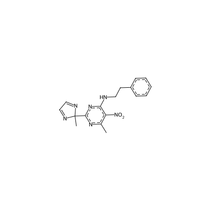 Cc1nc(C2(C)N=CC=N2)nc(NCCc2ccccc2)c1[N+](=O)[O-]